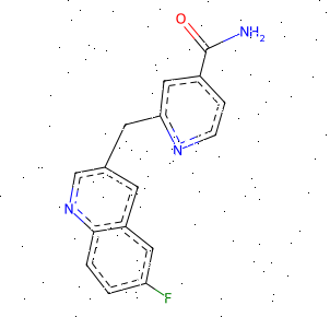 NC(=O)c1ccnc(Cc2cnc3ccc(F)cc3c2)c1